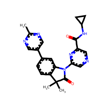 Cc1ncc(-c2ccc3c(c2)N(c2cncc(C(=O)NC4CC4)n2)C(=O)C3(C)C)cn1